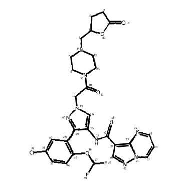 O=C1CCC(CN2CCN(C(=O)Cn3cc(NC(=O)c4cnn5cccnc45)c(-c4cc(Cl)ccc4OC(F)F)n3)CC2)O1